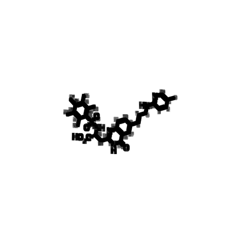 Cc1ccc(NC/C=C/c2ccc3nc(C[C@H](NS(=O)(=O)c4c(C)c(C)c(C)c(C)c4C)C(=O)O)[nH]c(=O)c3c2)nc1